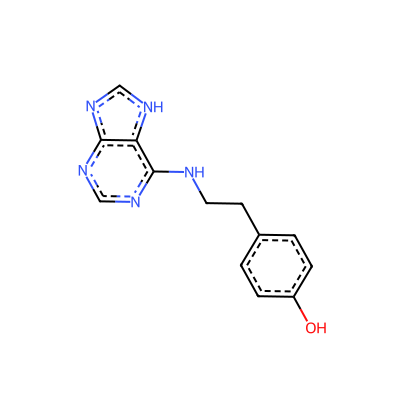 Oc1ccc(CCNc2ncnc3nc[nH]c23)cc1